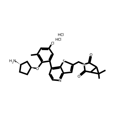 Cc1cc(Cl)cc(-c2ccnc3cc(CN4C(=O)C5C(C4=O)C5(C)C)sc23)c1O[C@H]1CC[C@H](N)C1.Cl.Cl